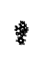 CC(C)C(c1cncnc1C(F)(F)F)n1ccn(-c2ccccc2)c1=O